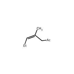 [CH2]CC=C(C)CC(C)=O